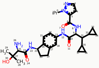 CC(C)n1nccc1C(=O)N[C@H](C(=O)Nc1ccc2c(c1)CC[C@H]2NC(=O)[C@H](N)C(C)(C)O)C(C1CC1)C1CC1